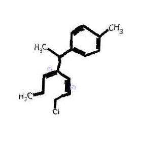 CC/C=C(\C=C/CCl)C(C)c1ccc(C)cc1